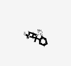 CC1(c2ccccc2F)N=C2CS(=O)(=O)C21.N